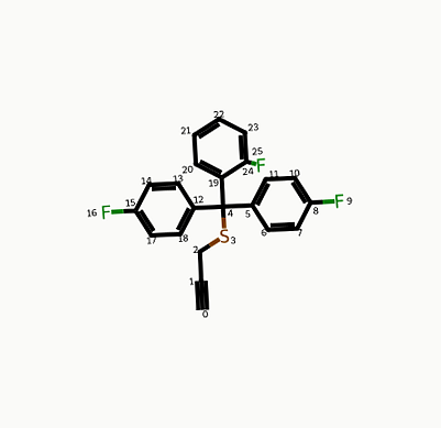 C#CCSC(c1ccc(F)cc1)(c1ccc(F)cc1)c1ccccc1F